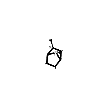 C[C@H]1CC2CCC1N2